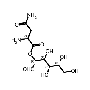 NC(=O)C[C@H](N)C(=O)O[C@@H](C=O)[C@@H](O)[C@H](O)[C@H](O)CO